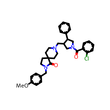 COc1ccc(CN2CCC3(CCN(CC4CN(C(=O)c5ccccc5Cl)CC4c4ccccc4)CC3)C2=O)cc1